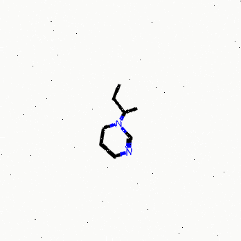 CCC(C)N1C=NCCC1